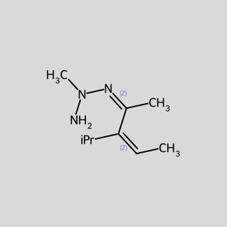 C/C=C(\C(C)=N/N(C)N)C(C)C